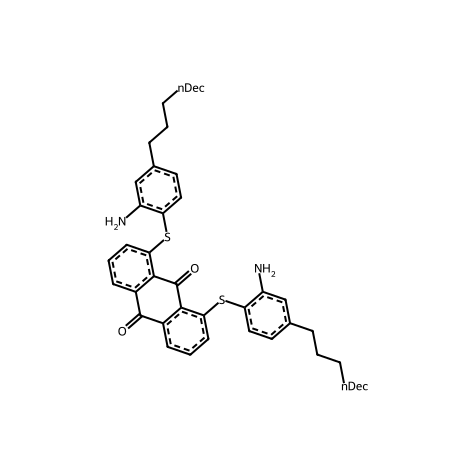 CCCCCCCCCCCCCc1ccc(Sc2cccc3c2C(=O)c2c(Sc4ccc(CCCCCCCCCCCCC)cc4N)cccc2C3=O)c(N)c1